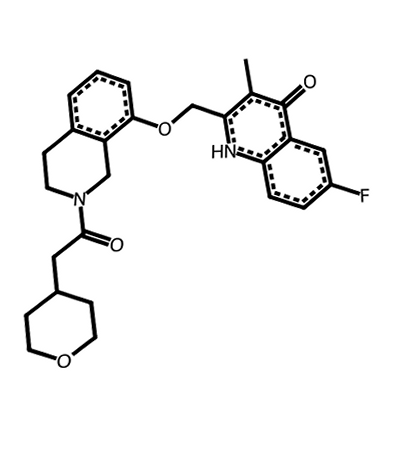 Cc1c(COc2cccc3c2CN(C(=O)CC2CCOCC2)CC3)[nH]c2ccc(F)cc2c1=O